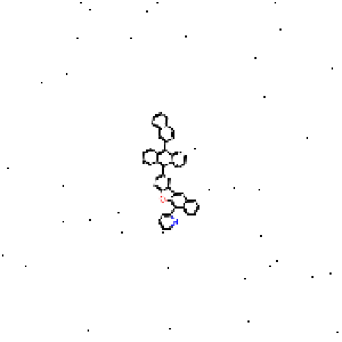 c1ccc(-c2c3ccccc3cc3c2oc2ccc(-c4c5ccccc5c(-c5ccc6ccccc6c5)c5ccccc45)cc23)nc1